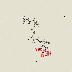 CC(C)CCCC(C)CCCC(C)CCCC(C)CCP(=O)(O)O